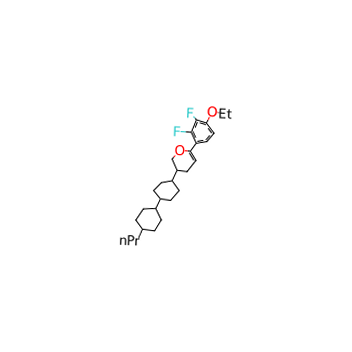 CCCC1CCC(C2CCC(C3CC=C(c4ccc(OCC)c(F)c4F)OC3)CC2)CC1